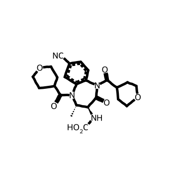 C[C@H]1[C@H](NC(=O)O)C(=O)N(C(=O)C2CCOCC2)c2ccc(C#N)cc2N1C(=O)C1CCOCC1